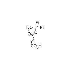 CCC(CC)C(OC(=O)CCC(=O)O)C(F)(F)F